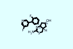 NC1=N[C@@]2(c3ccc(F)c(-c4cncc(F)c4)c3)C[C@H](O)C[C@H]2CS1